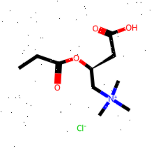 CCC(=O)O[C@@H](CC(=O)O)C[N+](C)(C)C.[Cl-]